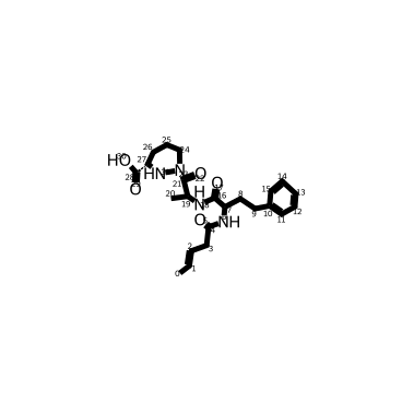 C/C=C/CC(=O)NC(CCc1ccccc1)C(=O)NC(C)C(=O)N1CCC[C@@H](C(=O)O)N1